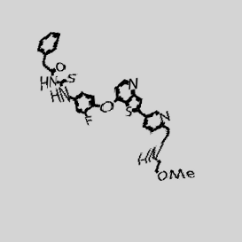 COCCNCc1ccc(-c2cc3nccc(Oc4ccc(NC(=S)NC(=O)Cc5ccccc5)cc4F)c3s2)cn1